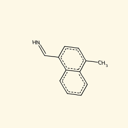 Cc1ccc(C=N)c2ccccc12